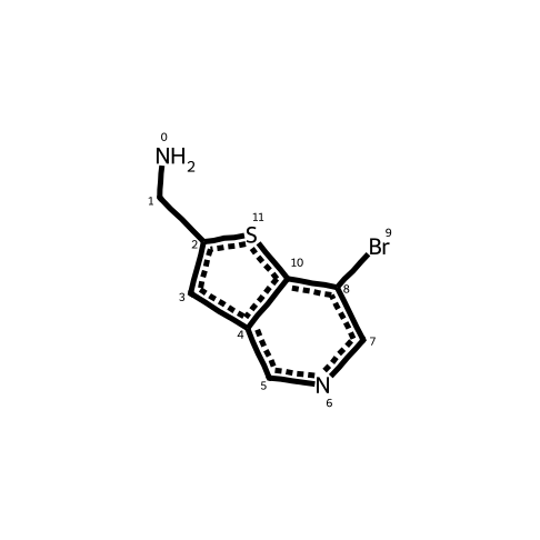 NCc1cc2cncc(Br)c2s1